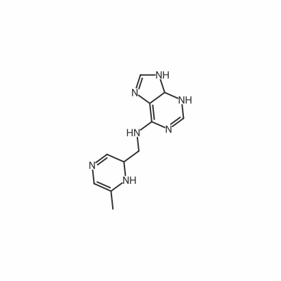 CC1=CN=CC(CNC2=C3N=CNC3NC=N2)N1